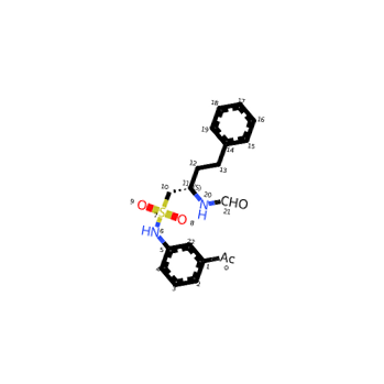 CC(=O)c1cccc(NS(=O)(=O)C[C@H](CCc2ccccc2)NC=O)c1